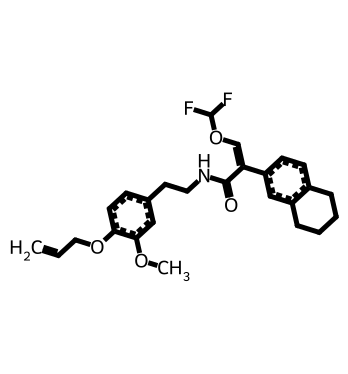 C=CCOc1ccc(CCNC(=O)C(=COC(F)F)c2ccc3c(c2)CCCC3)cc1OC